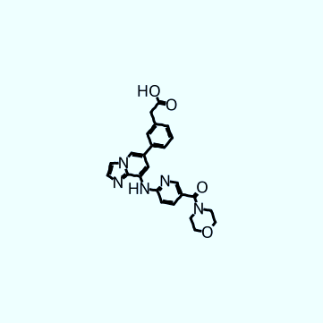 O=C(O)Cc1cccc(-c2cc(Nc3ccc(C(=O)N4CCOCC4)cn3)c3nccn3c2)c1